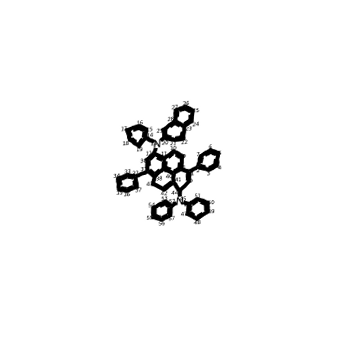 C1=C(c2ccccc2)c2ccc3c(N(c4ccccc4)c4ccc5ccccc5c4)cc(-c4ccccc4)c4c3c2C(=CC4)C1N(c1ccccc1)c1ccccc1